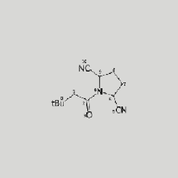 CC(C)(C)CC(=O)N1C(C#N)CCC1C#N